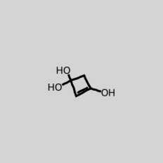 OC1=CC(O)(O)C1